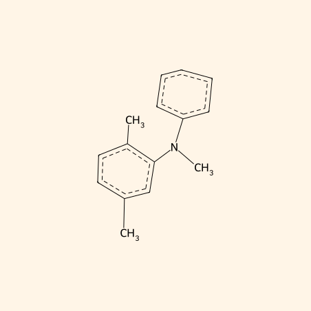 Cc1ccc(C)c(N(C)c2ccccc2)c1